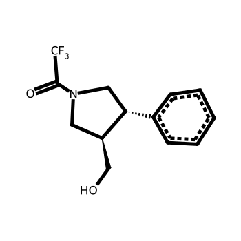 O=C(N1C[C@H](CO)[C@@H](c2ccccc2)C1)C(F)(F)F